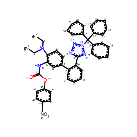 CC(C)CN(CC(C)C)c1ccc(-c2ccccc2-c2nnn(C(c3ccccc3)(c3ccccc3)c3ccccc3)n2)cc1NC(=O)Oc1ccc([N+](=O)[O-])cc1